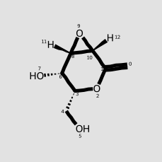 C=C1O[C@H](CO)[C@H](O)[C@@H]2O[C@H]12